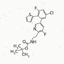 CC(C)(C)OC(=O)NCCc1ncc(-c2cc(Cl)cc(F)c2-c2cccs2)cc1F